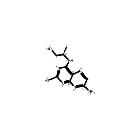 C[C@H](CO)Nc1nc(S)nc2nc(N)cnc12